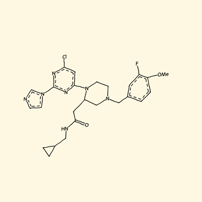 COc1ccc(CN2CCN(c3cc(Cl)nc(-n4ccnc4)n3)C(CC(=O)NCC3CC3)C2)cc1F